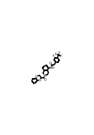 O=C(Cc1ccc(C(F)(F)F)c(F)c1)Nc1cccc2c1CCN(C(=O)C1COc3ccccc3O1)C2